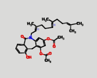 CC(=O)Oc1cc(OC(C)=O)c2c(c1)N(C/C=C(\C)CC/C=C(\C)CCC=C(C)C)C(=O)c1cccc(O)c1C2